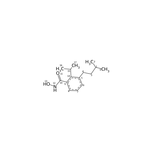 CC(C)CCc1cccc(C(=O)NO)c1C(C)C